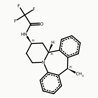 C[C@@H]1c2ccccc2[C@H]2C[C@H](NC(=O)C(F)(F)F)CCN2c2ccccc21